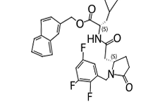 O=C(C[C@@H]1CCC(=O)N1Cc1cc(F)cc(F)c1F)N[C@@H](CC1CC1)C(=O)OCc1ccc2ccccc2c1